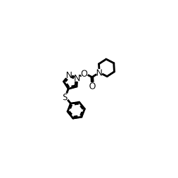 O=C(On1cc(Sc2ccccc2)cn1)N1CCCCC1